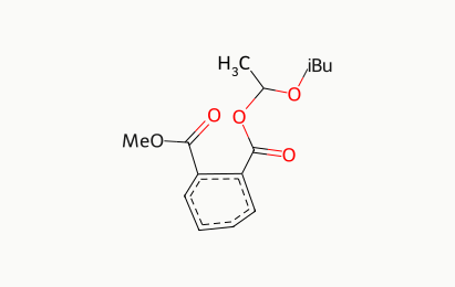 CCC(C)OC(C)OC(=O)c1ccccc1C(=O)OC